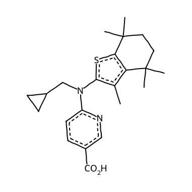 Cc1c(N(CC2CC2)c2ccc(C(=O)O)cn2)sc2c1C(C)(C)CCC2(C)C